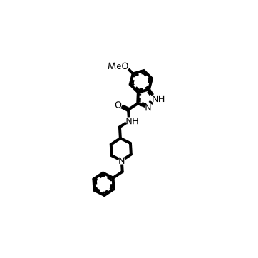 COc1ccc2[nH]nc(C(=O)NCC3CCN(Cc4ccccc4)CC3)c2c1